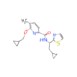 Cc1ccc(C(=O)NC(CC2CC2)c2nccs2)nc1OCC1CC1